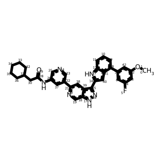 COc1cc(F)cc(-c2cccc3[nH]c(-c4n[nH]c5cnc(-c6cncc(NC(=O)CC7CCCCC7)c6)cc45)cc23)c1